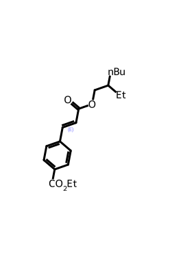 CCCCC(CC)COC(=O)/C=C/c1ccc(C(=O)OCC)cc1